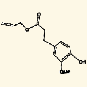 C=CCOC(=O)CCc1ccc(O)c(OC)c1